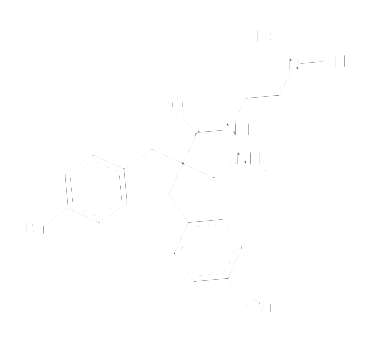 CN(C)CCNC(=O)C(CN)(Cc1ccc(C(C)(C)C)cc1)Cc1ccc(C(C)(C)C)cc1